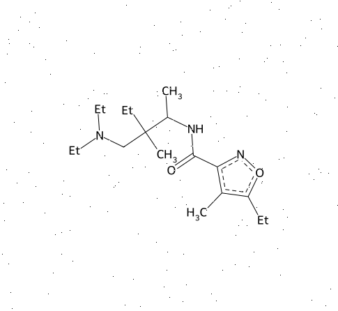 CCc1onc(C(=O)NC(C)C(C)(CC)CN(CC)CC)c1C